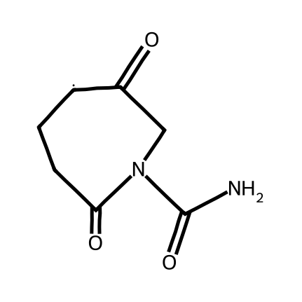 NC(=O)N1CC(=O)[CH]CCC1=O